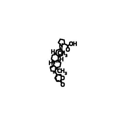 C[C@]12CC[C@H](N3CCCC3C(=O)O)C[C@H]1CC[C@H]1C3=CC[C@H](c4ccc(=O)oc4)[C@@]3(C)CC[C@@H]12